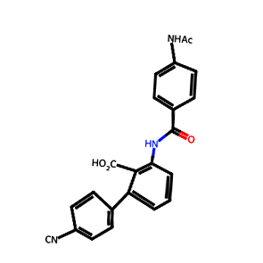 [C-]#[N+]c1ccc(-c2cccc(NC(=O)c3ccc(NC(C)=O)cc3)c2C(=O)O)cc1